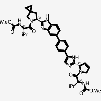 COC(=O)N[C@H](C(=O)N1CC=C[C@H]1c1ncc(-c2ccc(-c3ccc4[nH]c([C@@H]5CC6(CC6)CN5C(=O)[C@@H](NC(=O)OC)C(C)C)nc4c3)cc2)[nH]1)C(C)C